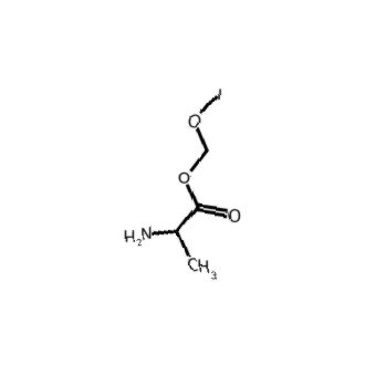 CC(N)C(=O)OCOI